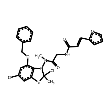 CN(C(=O)CNC(=O)C=Cc1ccco1)N1c2c(OCc3ccccc3)cc(Cl)cc2SC1(C)Cl